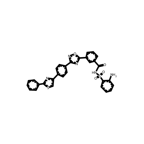 Nc1ccccc1S(=O)(=O)NC(=O)c1cccc(-c2nc(-c3ccc(-c4csc(-c5ccccc5)n4)cc3)no2)c1